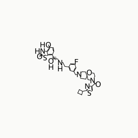 O=C(c1csc(C2CCC2)n1)N1CCOC2(CCN(Cc3cc(F)cc(CCNC[C@H](O)c4ccc(O)c5[nH]c(=O)sc45)c3)CC2)C1